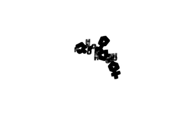 Cc1cnccc1NC(=O)Oc1[nH]c2ccc(NS(=O)(=O)c3ccc(C(C)(C)C)cc3)cc2c1-c1ccccc1